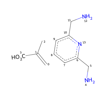 C=C(C)C(=O)O.NCc1cccc(CN)n1